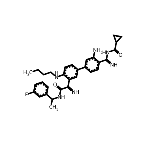 CCCCNc1ccc(-c2ccc(C(=N)NC(=O)C3CC3)c(N)c2)cc1C(=N)C(=O)NC(C)c1cccc(F)c1